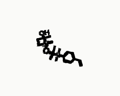 C=Cc1ccc([Si](C)(C)C(C)(C)O[Si]2(C)CCC2(C)O)cc1